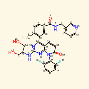 Cc1ccc(C(=O)NCc2cccnc2)cc1-c1nc(NC(CO)CO)nc2c1ccc(=O)n2-c1c(F)cccc1F